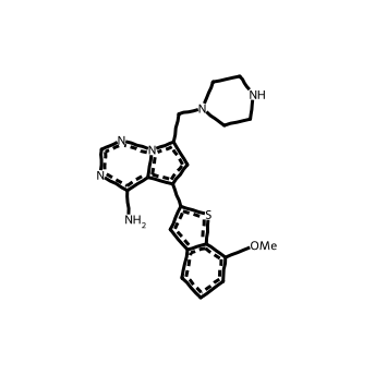 COc1cccc2cc(-c3cc(CN4CCNCC4)n4ncnc(N)c34)sc12